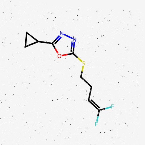 FC(F)=CCCSc1nnc(C2CC2)o1